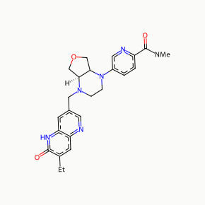 CCc1cc2ncc(CN3CCN(c4ccc(C(=O)NC)nc4)C4COC[C@@H]43)cc2[nH]c1=O